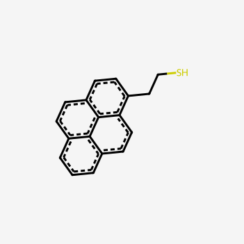 SCCc1ccc2ccc3cccc4ccc1c2c34